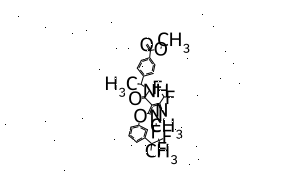 COC(=O)c1ccc([C@H](C)NC(=O)c2c(C(F)F)nn(C)c2Oc2cccc(C(C)C(F)(F)F)c2)cc1